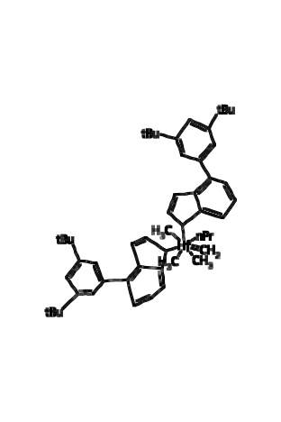 [CH2]=[Hf]([CH3])([CH3])([CH3])([CH2]CC)([CH]1C=Cc2c(-c3cc(C(C)(C)C)cc(C(C)(C)C)c3)cccc21)[CH]1C=Cc2c(-c3cc(C(C)(C)C)cc(C(C)(C)C)c3)cccc21